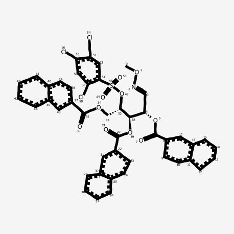 CON=C[C@H](OC(=O)c1ccc2ccccc2c1)[C@@H](OC(=O)c1ccc2ccccc2c1)[C@H](COC(=O)c1ccc2ccccc2c1)OS(=O)(=O)c1cc(Cl)c(Cl)cc1Cl